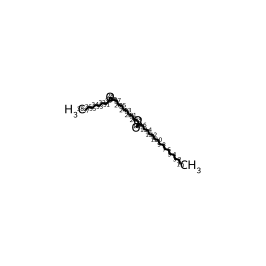 CCCCCCCCCCCCCCCCCC(=O)OCCCCCCCCC1OC1CCCCCCCC